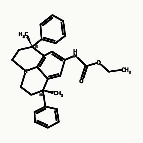 CCOC(=O)Nc1cc2c3c(c1)[C@](C)(c1ccccc1)CCN3CC[C@@]2(C)c1ccccc1